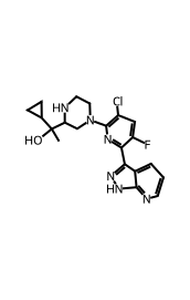 CC(O)(C1CC1)C1CN(c2nc(-c3n[nH]c4ncccc34)c(F)cc2Cl)CCN1